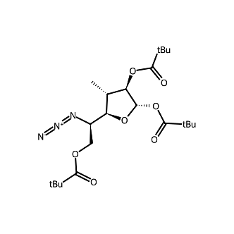 C[C@H]1[C@H]([C@@H](COC(=O)C(C)(C)C)N=[N+]=[N-])O[C@@H](OC(=O)C(C)(C)C)[C@@H]1OC(=O)C(C)(C)C